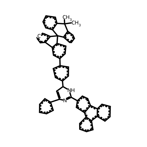 CC1(C)c2ccccc2C2(c3ccccc3-c3cc(-c4ccc(C5C=C(c6ccccc6)N=C(c6ccc7c8ccccc8c8ccccc8c7c6)N5)cc4)ccc32)c2ccccc21